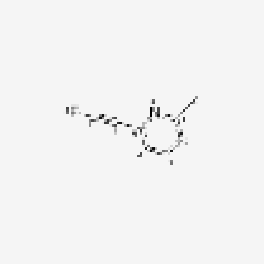 Cc1cccc(C#CF)n1